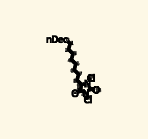 CCCCCCCCCCCCCCCCCCC1C(=O)N(Cl)C(=O)N1Cl